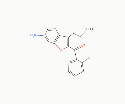 Nc1ccc2c(CCC(=O)O)c(C(=O)c3ccccc3Cl)oc2c1